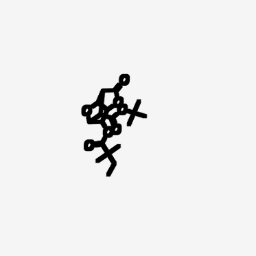 CCC(C)(C)C(=O)OC1C2OC(=O)C3C2OC1C3C(=O)OC(C)(C)C